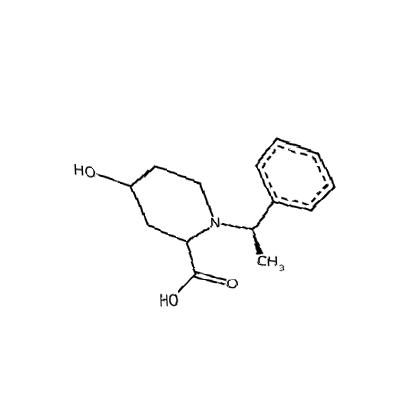 C[C@H](c1ccccc1)N1CCC(O)CC1C(=O)O